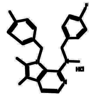 Cc1ccc(Cn2c(C)c(C)c3ccnc(N(C)Cc4ccc(F)cc4)c32)cc1.Cl